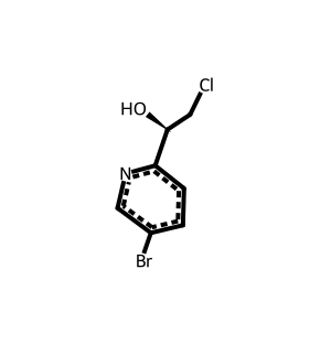 O[C@@H](CCl)c1ccc(Br)cn1